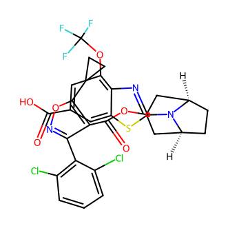 O=C(O)c1cc(OC(F)(F)F)c2nc(N3[C@@H]4CC[C@H]3CC(OC(=O)c3c(-c5c(Cl)cccc5Cl)noc3C3CC3)C4)sc2c1